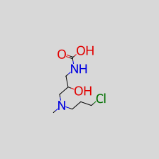 CN(CCCCl)CC(O)CNC(=O)O